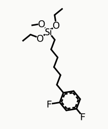 CCO[Si](CCCCCCc1ccc(F)cc1F)(OC)OCC